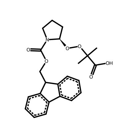 CC(C)(OO[C@@H]1CCCN1C(=O)OCC1c2ccccc2-c2ccccc21)C(=O)O